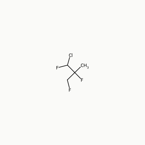 CC(F)(CF)C(F)Cl